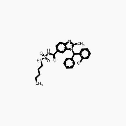 CCCCCNS(=O)(=O)NC(=O)c1ccc2nc(C)n(C(c3ccccc3)c3ccccc3Cl)c2c1